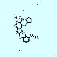 COC(=O)[C@H](CC1CCCC1)N1CC(Oc2cccc(OC)c2Cl)=CC1=O